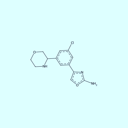 Nc1nc(-c2cc(Cl)cc(C3COCCN3)c2)co1